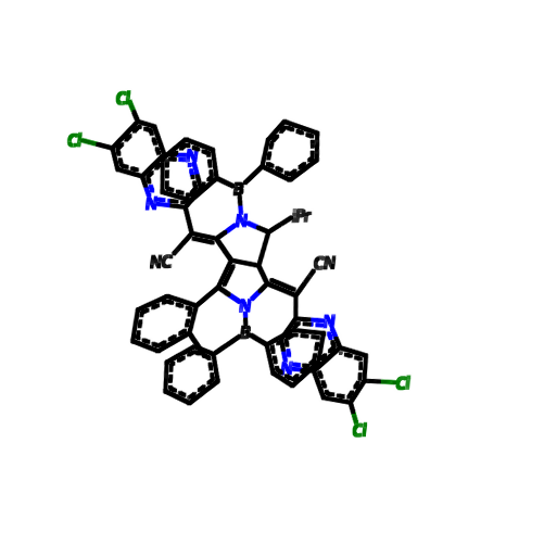 Cc1ccccc1C1=C2/C(=C(\C#N)c3cnc4cc(Cl)c(Cl)cc4n3)N(B(c3ccccc3)c3ccccc3)C(C(C)C)C2/C(=C(\C#N)c2cnc3cc(Cl)c(Cl)cc3n2)N1B(c1ccccc1)c1ccccc1